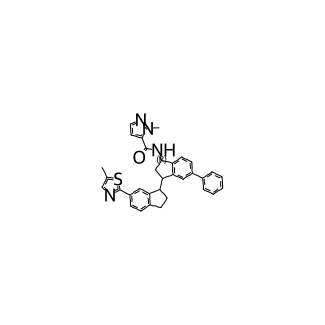 Cc1cnc(-c2ccc3c(c2)C(C2C[C@@H](NC(=O)c4ccnn4C)c4ccc(-c5ccccc5)cc42)CC3)s1